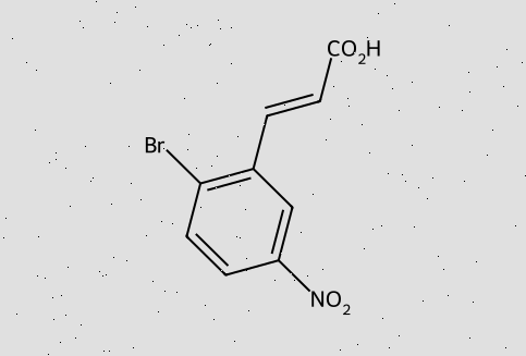 O=C(O)C=Cc1cc([N+](=O)[O-])ccc1Br